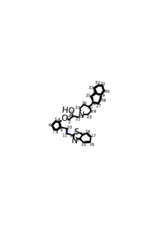 O[C@H](COc1ccccc1/C=C/C1=NC2C=CC=CC2S1)CN1CCC(c2ccc3ccccc3c2)CC1